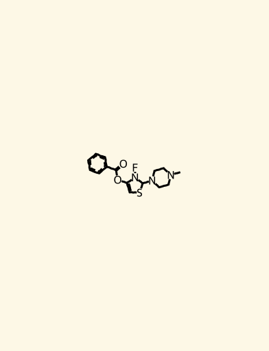 CN1CCN(C2SC=C(OC(=O)c3ccccc3)N2F)CC1